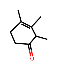 CC1=C(C)C(C)C(=O)CC1